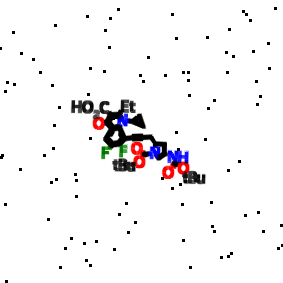 CCc1c(C(=O)O)c(=O)c2cc(F)c(F)c(C#CC[C@H]3C[C@H](NC(=O)OC(C)(C)C)CN3C(=O)OC(C)(C)C)c2n1C1CC1